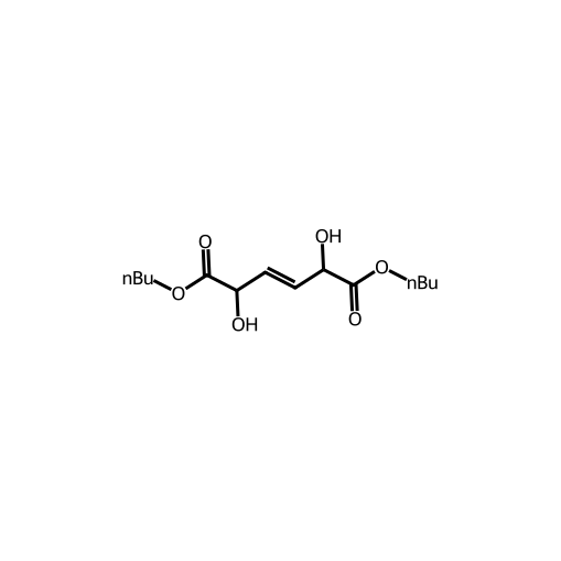 CCCCOC(=O)C(O)/C=C/C(O)C(=O)OCCCC